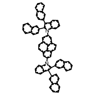 c1ccc2cc(-c3c(-c4ccc5ccccc5c4)n(-c4cc5ccc6cc(-n7c(-c8ccc9ccccc9c8)c(-c8ccc9ccccc9c8)c8ccccc87)cc7ccc(c4)c5c67)c4ccccc34)ccc2c1